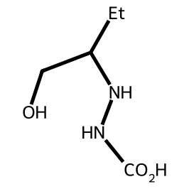 CCC(CO)NNC(=O)O